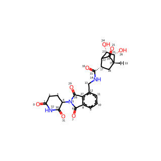 O=C1CCC(N2C(=O)c3cccc(CNC(=O)[C@H]4C[C@@H]5C(=O)C4[C@H](O)[C@@H]5O)c3C2=O)C(=O)N1